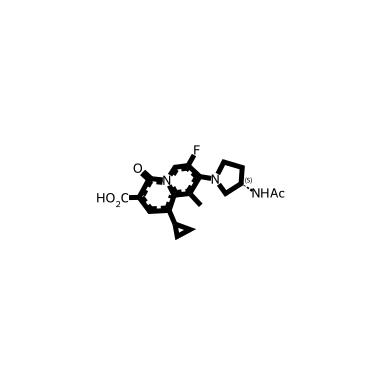 CC(=O)N[C@H]1CCN(c2c(F)cn3c(=O)c(C(=O)O)cc(C4CC4)c3c2C)C1